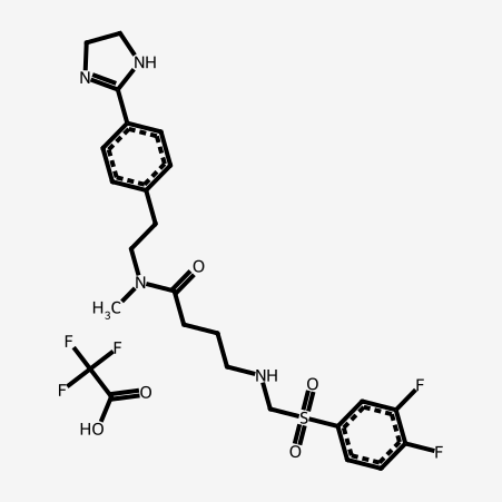 CN(CCc1ccc(C2=NCCN2)cc1)C(=O)CCCNCS(=O)(=O)c1ccc(F)c(F)c1.O=C(O)C(F)(F)F